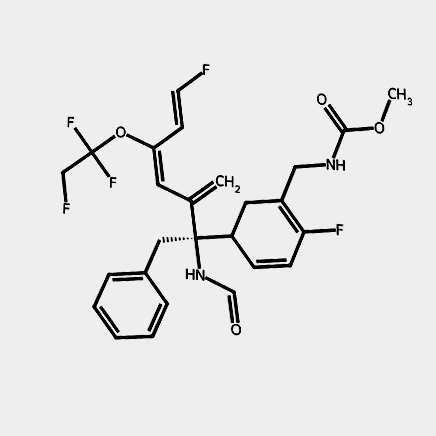 C=C(/C=C(\C=C\F)OC(F)(F)CF)[C@](Cc1ccccc1)(NC=O)C1C=CC(F)=C(CNC(=O)OC)C1